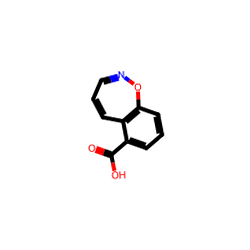 O=C(O)c1cccc2c1C=CC=NO2